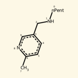 CCCCCNCc1ccc(C)nc1